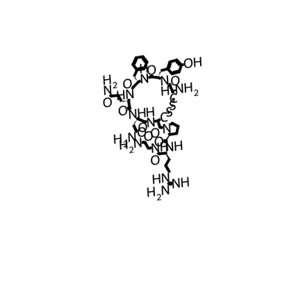 N=C(N)NCCC[C@H](NC(=O)[C@@H]1CCCN1C(=O)C1CSSC[C@H](N)C(=O)N[C@@H](Cc2ccc(O)cc2)C(=O)N[C@@H](Cc2ccccc2)C(=O)N[C@@H](CCC(N)=O)C(=O)N[C@@H](CC(N)=O)C(=O)N1)C(=O)NCC(N)=O